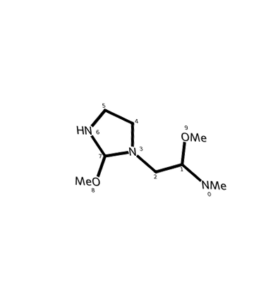 CNC(CN1CCNC1OC)OC